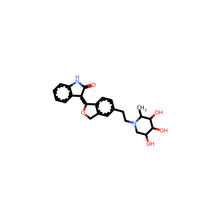 CC1C(O)C(O)C(O)CN1CCc1ccc2c(c1)CO/C2=C1/C(=O)Nc2ccccc21